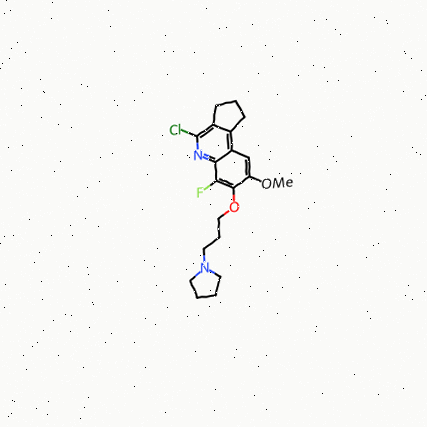 COc1cc2c3c(c(Cl)nc2c(F)c1OCCCN1CCCC1)CCC3